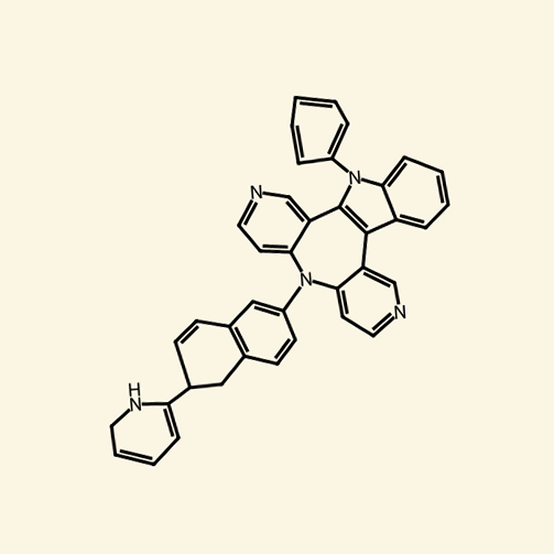 C1=CCNC(C2C=Cc3cc(N4c5ccncc5-c5c(n(-c6ccccc6)c6ccccc56)-c5cnccc54)ccc3C2)=C1